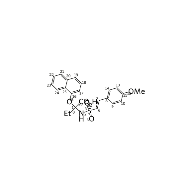 CCC(NS(=O)(=O)C=Cc1ccc(OC)cc1)(Oc1cccc2ccccc12)C(=O)O